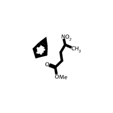 COC(=O)CCC(C)[N+](=O)[O-].c1cc2cc-2c1